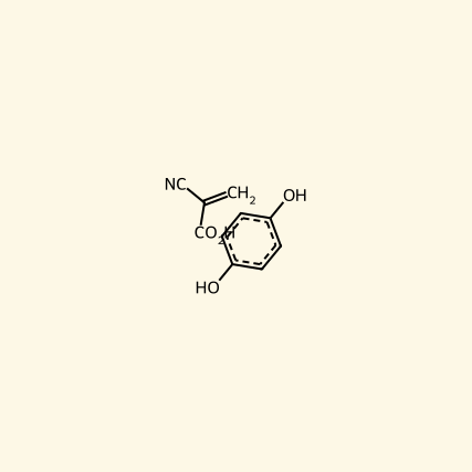 C=C(C#N)C(=O)O.Oc1ccc(O)cc1